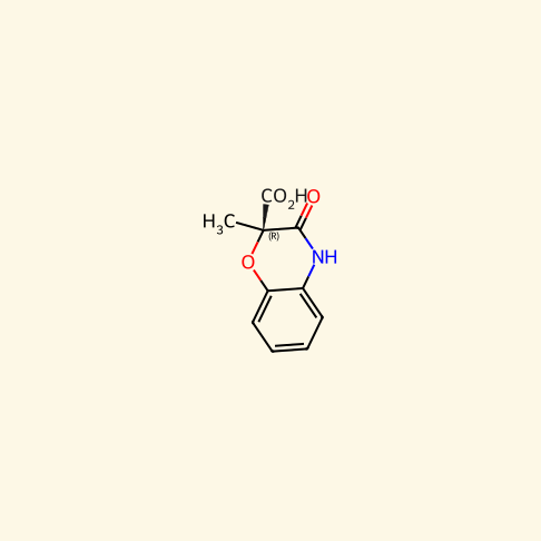 C[C@@]1(C(=O)O)Oc2ccccc2NC1=O